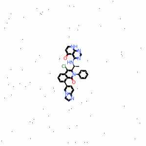 C[C@H](Nc1ncnc2[nH]ccc(=O)c12)c1c(Cl)c2cccc(-c3ccc4nccn4c3)c2c(=O)n1-c1ccccc1